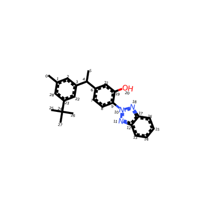 Cc1cc(C(C)c2ccc(-n3nc4ccccc4n3)c(O)c2)cc(C(C)(C)C)c1